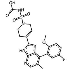 COc1ccc(F)cc1-c1c(C)cnc2[nH]c(C3=CCN(S(=O)(=O)NC(=O)O)CC3)cc12